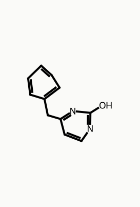 Oc1nccc(Cc2ccccc2)n1